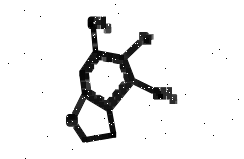 Cc1cc2c(c(N)c1Br)CCO2